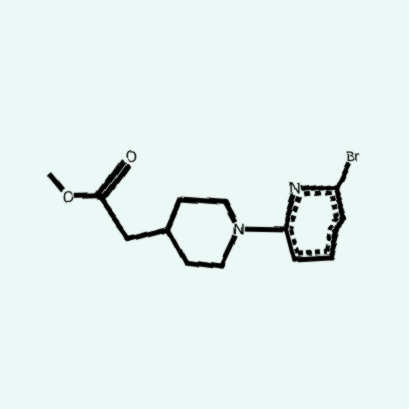 COC(=O)CC1CCN(c2cccc(Br)n2)CC1